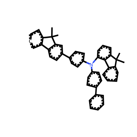 CC1(C)c2ccccc2-c2ccc(-c3ccc(N(c4ccc(-c5ccccc5)cc4)c4cccc5c4-c4ccccc4C5(C)C)cc3)cc21